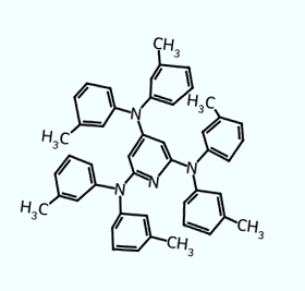 Cc1cccc(N(c2cccc(C)c2)c2cc(N(c3cccc(C)c3)c3cccc(C)c3)nc(N(c3cccc(C)c3)c3cccc(C)c3)c2)c1